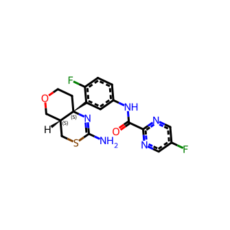 NC1=N[C@@]2(c3cc(NC(=O)c4ncc(F)cn4)ccc3F)CCOC[C@H]2CS1